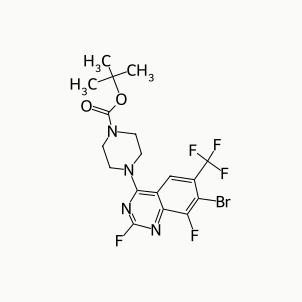 CC(C)(C)OC(=O)N1CCN(c2nc(F)nc3c(F)c(Br)c(C(F)(F)F)cc23)CC1